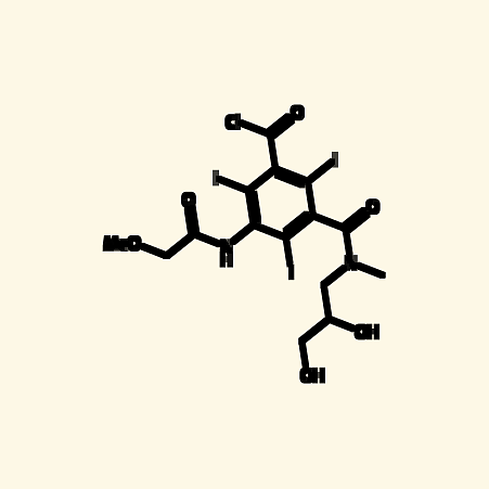 COCC(=O)Nc1c(I)c(C(=O)Cl)c(I)c(C(=O)N(C)CC(O)CO)c1I